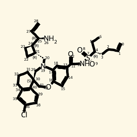 C=CCC[C@@H](CC)S(=O)(=O)NC(=O)c1ccc2c(c1)N(C[C@@H]1CC[C@H]1[C@H](N)C=C)C[C@@]1(CCCc3cc(Cl)ccc31)CO2